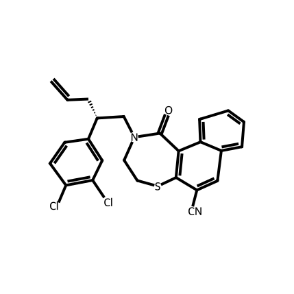 C=CC[C@H](CN1CCSc2c(C#N)cc3ccccc3c2C1=O)c1ccc(Cl)c(Cl)c1